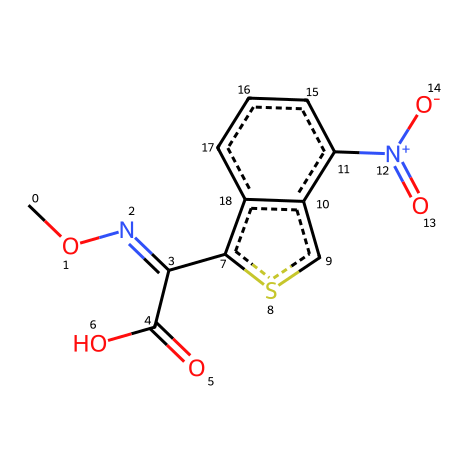 CON=C(C(=O)O)c1scc2c([N+](=O)[O-])cccc12